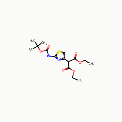 CCOC(=O)C(C(=O)OCC)c1csc(NC(=O)OC(C)(C)C)n1